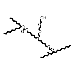 CCCCCCCCC(CCCCCC)OC(=O)OCCCCCN(CCCCCOC(=O)OC(CCCCCC)CCCCCCCC)CCOCCOCCO